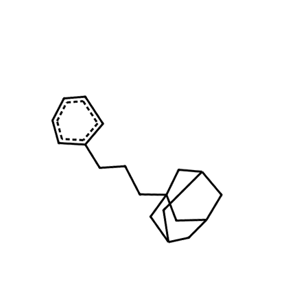 c1ccc(CCCC23CC4CC(CC(C4)C2)C3)cc1